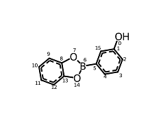 Oc1cccc(B2Oc3ccccc3O2)c1